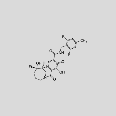 CC[C@]1(O)CCCN2C[C@H]1n1cc(C(=O)NCc3c(F)cc(C)cc3F)c(=O)c(O)c1C2=O